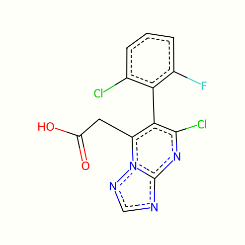 O=C(O)Cc1c(-c2c(F)cccc2Cl)c(Cl)nc2ncnn12